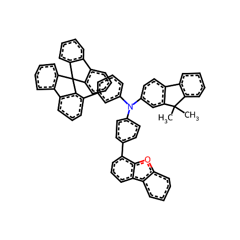 CC1(C)c2ccccc2-c2ccc(N(c3ccc(-c4cccc5c4oc4ccccc45)cc3)c3cccc(-c4cccc5c4C4(c6ccccc6-c6ccccc64)c4ccccc4-5)c3)cc21